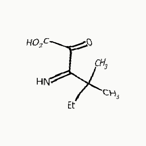 CCC(C)(C)C(=N)C(=O)C(=O)O